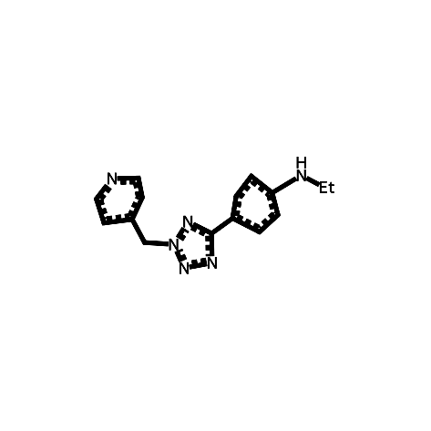 CCNc1ccc(-c2nnn(Cc3ccncc3)n2)cc1